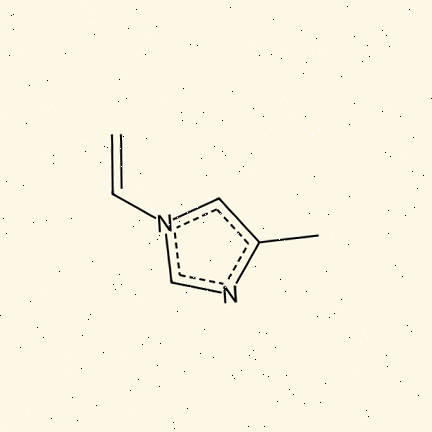 C=Cn1cnc(C)c1